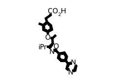 Cc1cc(OC(C)c2oc(-c3ccc(-c4cnccn4)cc3)nc2C(C)C)ccc1CCC(=O)O